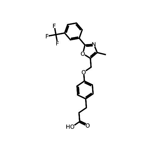 Cc1nc(-c2cccc(C(F)(F)F)c2)oc1COc1ccc(CCC(=O)O)cc1